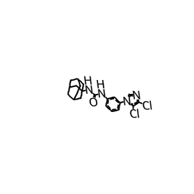 O=C(Nc1cccc(-n2cnc(Cl)c2Cl)c1)NC12CC3CC(CC(C3)C1)C2